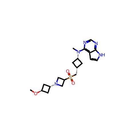 CO[C@H]1C[C@H](N2CC(S(=O)(=O)C[C@H]3C[C@@H](N(C)c4ncnc5[nH]ccc45)C3)C2)C1